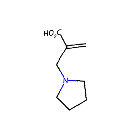 C=C(CN1CCCC1)C(=O)O